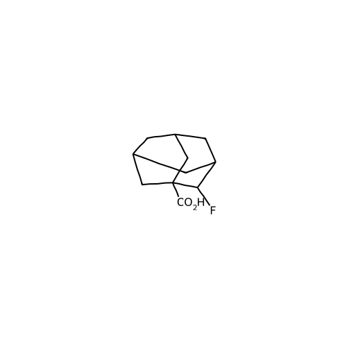 O=C(O)C12CC3CC(CC(C3)C1F)C2